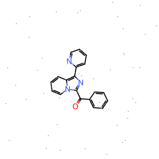 O=C(c1ccccc1)c1nc(-c2ccccn2)c2ccccn12